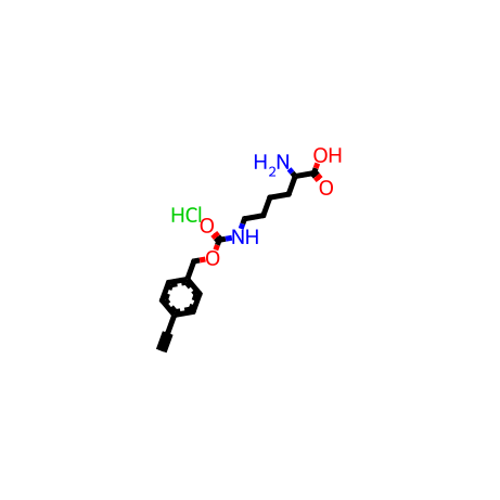 C#Cc1ccc(COC(=O)NCCCCC(N)C(=O)O)cc1.Cl